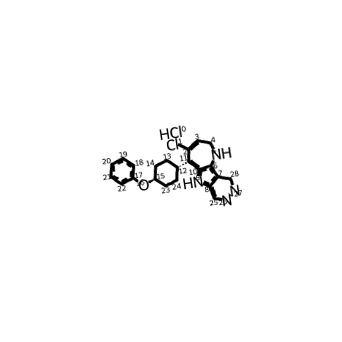 Cl.ClC1=CCNc2c3c([nH]c2=C1[C@H]1CC[C@H](Oc2ccccc2)CC1)=CN=NC3